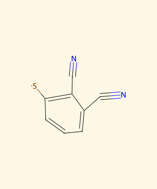 N#Cc1cccc([S])c1C#N